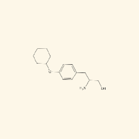 NC(CO)Cc1ccc(OC2CCCCC2)cc1